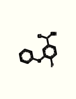 OC(Cl)c1ccc(F)c(Oc2ccccc2)c1